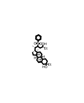 CC[C@@H](O)CC([C@@H](C)[C@H]1CC[C@H]2[C@@H]3CC=C4C[C@](O)(CC)CC[C@@H]4[C@H]3CC[C@]12C)S(=O)(=O)c1ccccc1